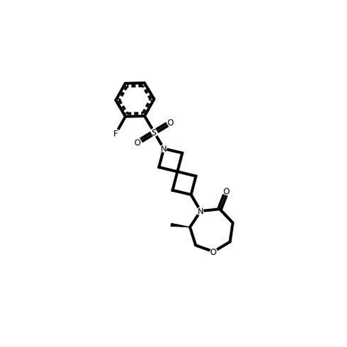 C[C@@H]1COCCC(=O)N1C1CC2(C1)CN(S(=O)(=O)c1ccccc1F)C2